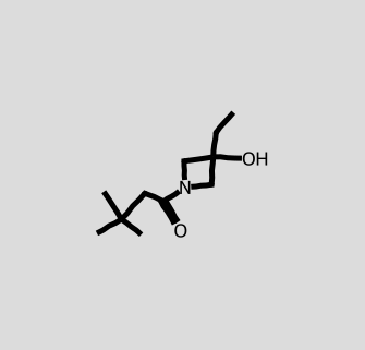 CCC1(O)CN(C(=O)CC(C)(C)C)C1